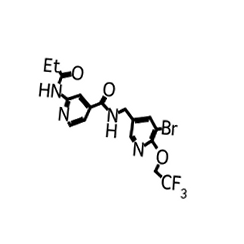 CCC(=O)Nc1cc(C(=O)NCc2cnc(OCC(F)(F)F)c(Br)c2)ccn1